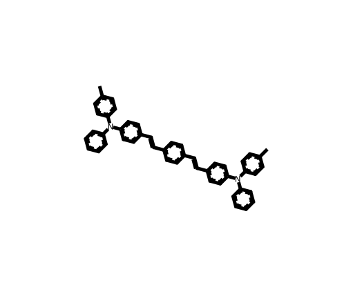 Cc1ccc(N(c2ccccc2)c2ccc(C=Cc3ccc(/C=C/c4ccc(N(c5ccccc5)c5ccc(C)cc5)cc4)cc3)cc2)cc1